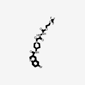 O=C(NNC(=O)C(=O)N1CCC(NC(=O)c2cnc3ccc(Br)cc3c2)CC1)OCCOC(F)(F)F